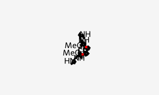 C=C1CC[C@@H](CNCc2ncc(-c3cccc(-c4cccc(-c5cnc(CNCC6=CCNN6C)c(OC)n5)c4Cl)c3Cl)nc2OC)N1